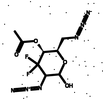 CC(=O)O[C@@H]1[C@@H](CN=[N+]=[N-])OC(O)C(N=[N+]=[N-])C1(F)F